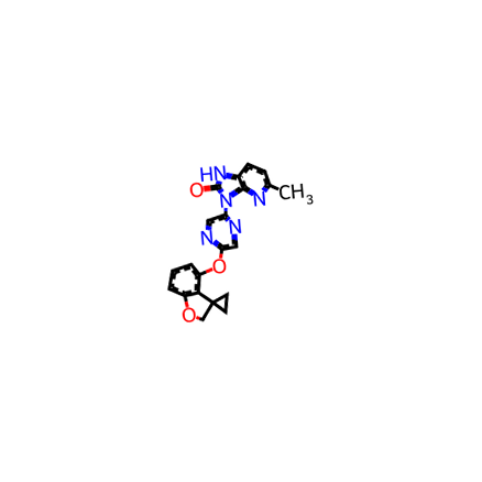 Cc1ccc2[nH]c(=O)n(-c3cnc(Oc4cccc5c4C4(CC4)CO5)cn3)c2n1